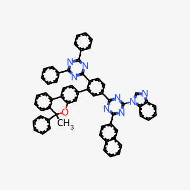 CC1(c2ccccc2)Oc2cc(-c3cc(-c4nc(-c5ccc6ccccc6c5)nc(-n5cnc6ccccc65)n4)ccc3-c3nc(-c4ccccc4)nc(-c4ccccc4)n3)ccc2-c2ccccc21